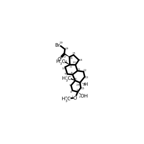 CO[C@@]1(O)CC[C@]2(C)C3CC[C@@]4(C)C(CC[C@@H]4C(=O)CBr)C3CC[C@H]2C1